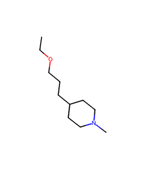 CCOCCCC1CCN(C)CC1